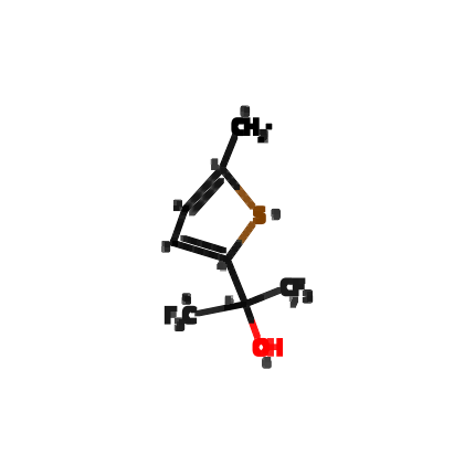 [CH2]c1ccc(C(O)(C(F)(F)F)C(F)(F)F)s1